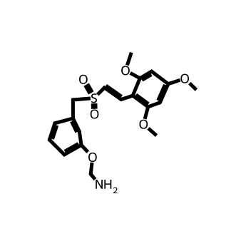 COc1cc(OC)c(C=CS(=O)(=O)Cc2cccc(OCN)c2)c(OC)c1